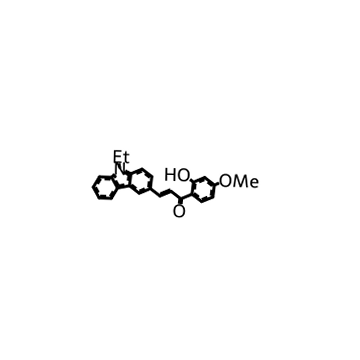 CCn1c2ccccc2c2cc(/C=C/C(=O)c3ccc(OC)cc3O)ccc21